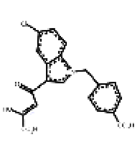 O=C(O)/C(O)=C/C(=O)c1cn(Cc2ccc(C(=O)O)cc2)c2ccc(Cl)cc12